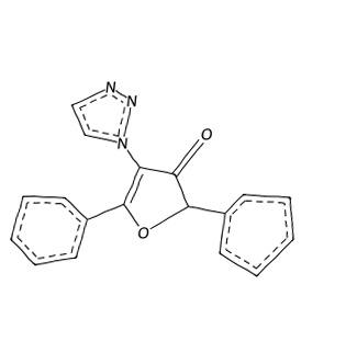 O=C1C(n2ccnn2)=C(c2ccccc2)OC1c1ccccc1